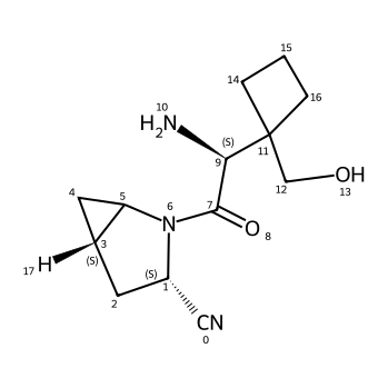 N#C[C@@H]1C[C@@H]2CC2N1C(=O)[C@@H](N)C1(CO)CCC1